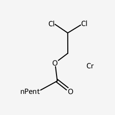 CCCCCC(=O)OCC(Cl)Cl.[Cr]